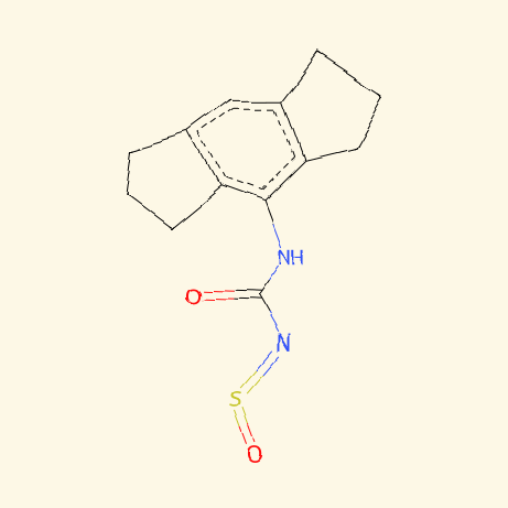 O=S=NC(=O)Nc1c2c(cc3c1CCC3)CCC2